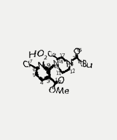 COC(=O)c1ccc(Cl)nc1N1CCN(C(=O)C(C)(C)C)CC1C(=O)O